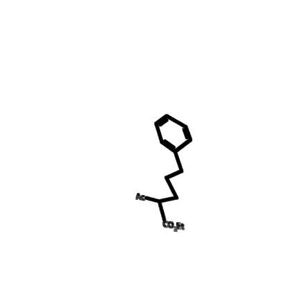 CCOC(=O)C(CCCc1ccccc1)C(C)=O